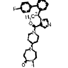 C[C@@H](c1ccccc1-c1ccc(F)cc1)n1cncc1C(=O)N1CCC(N2CCNC(=O)CC2)CC1